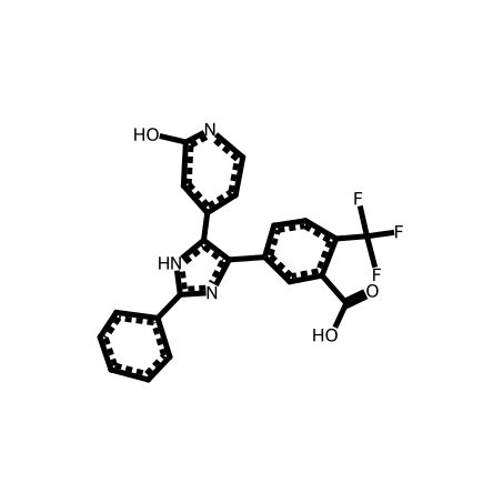 O=C(O)c1cc(-c2nc(-c3ccccc3)[nH]c2-c2ccnc(O)c2)ccc1C(F)(F)F